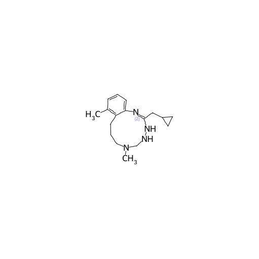 Cc1cccc2c1CCCN(C)CNN/C(CC1CC1)=N\2